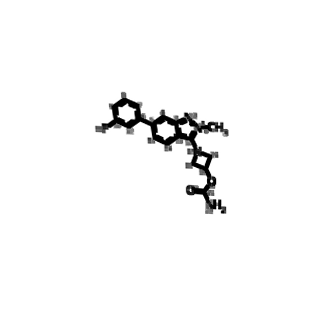 Cn1nc2cc(-c3cccc(F)c3)ccc2c1N1CC(OC(N)=O)C1